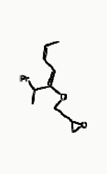 C/C=C\C=C(\OCC1CO1)C(C)C(C)C